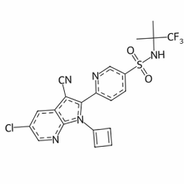 CC(C)(NS(=O)(=O)c1ccc(-c2c(C#N)c3cc(Cl)cnc3n2C2=CC=C2)nc1)C(F)(F)F